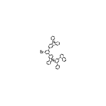 Brc1cc(-c2ccc3c(c2)c2ccccc2n3-c2ccccc2)cc(-c2ccc3c(c2)c2ccccc2n3-c2cc(-c3ccccc3)cc(-c3cccc4ccccc34)c2)c1